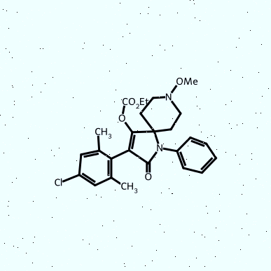 CCOC(=O)OC1=C(c2c(C)cc(Cl)cc2C)C(=O)N(c2ccccc2)C12CCN(OC)CC2